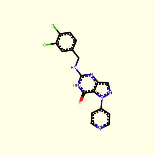 O=c1[nH]c(NCc2ccc(Cl)c(Cl)c2)nc2cnn(-c3ccncc3)c12